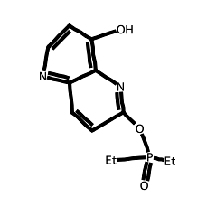 CCP(=O)(CC)Oc1ccc2nccc(O)c2n1